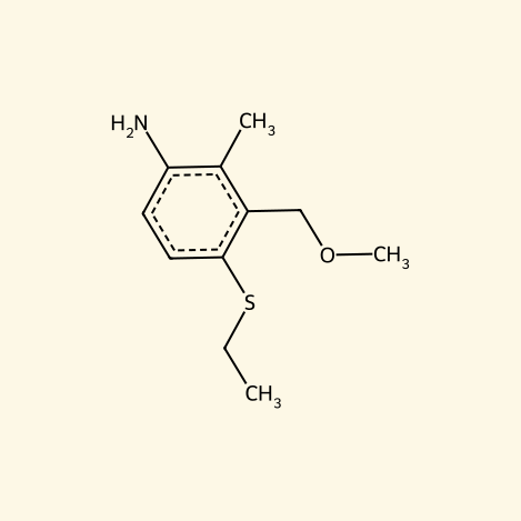 CCSc1ccc(N)c(C)c1COC